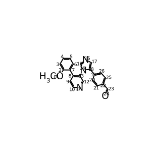 COc1ccccc1-c1ccncc1-n1cncc1-c1ccc(C=O)cc1